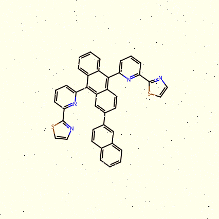 c1cc(-c2nccs2)nc(-c2c3ccccc3c(-c3cccc(-c4nccs4)n3)c3cc(-c4ccc5ccccc5c4)ccc23)c1